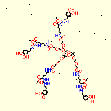 CCOC(=O)C(CCCCNC(=O)OCCOCCOCCOCC(C)(COCCOCCOC(=O)NCCCCC(NC(=O)NCCc1ccc(O)c(O)c1)C(=O)OCC)COCC(C)(COCCOCCOC(=O)NCCCCC(NC(=O)NCCc1ccc(O)c(O)c1)C(=O)OCC)COCCOCCOC(=O)NCCCCC(NC(=O)NCCc1ccc(O)c(O)c1)C(=O)OCC)NC(=O)NCCc1ccc(O)c(O)c1